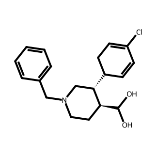 OC(O)[C@H]1CCN(Cc2ccccc2)C[C@@H]1C1C=CC(Cl)=CC1